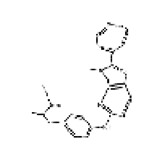 CC(=O)N(C)Cc1ccc(Nc2ncc3nc(-c4ccncc4)n(C)c3n2)cc1